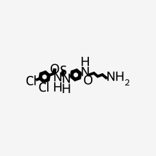 NCCCCC(=O)Nc1ccc(NC(=S)NC(=O)c2ccc(Cl)c(Cl)c2)cc1